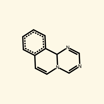 C1=CN2C=NC=NC2c2ccccc21